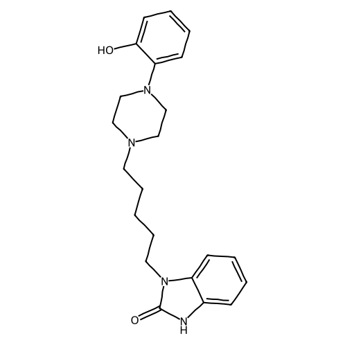 O=c1[nH]c2ccccc2n1CCCCCN1CCN(c2ccccc2O)CC1